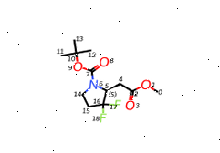 COC(=O)C[C@@H]1N(C(=O)OC(C)(C)C)CCC1(F)F